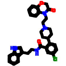 O=C(NCCc1c[nH]c2ccccc12)c1cc(Cl)ccc1C1CCN(CCN2C(=O)COc3ccccc32)CC1